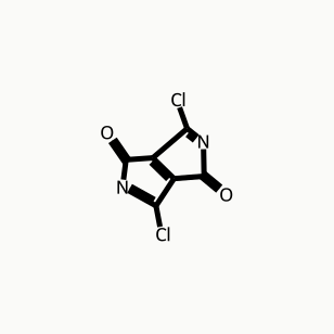 O=c1nc(Cl)c2c(=O)nc(Cl)c1=2